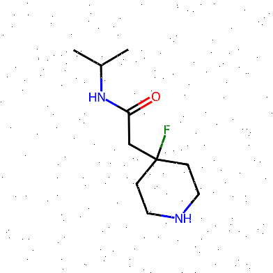 CC(C)NC(=O)CC1(F)CCNCC1